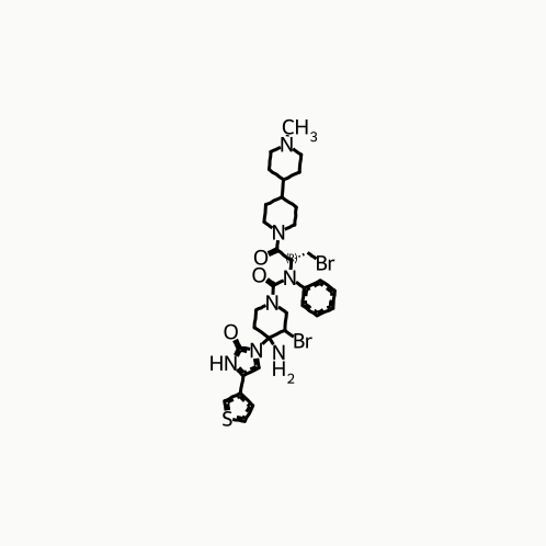 CN1CCC(C2CCN(C(=O)[C@H](CBr)N(C(=O)N3CCC(N)(n4cc(-c5ccsc5)[nH]c4=O)C(Br)C3)c3ccccc3)CC2)CC1